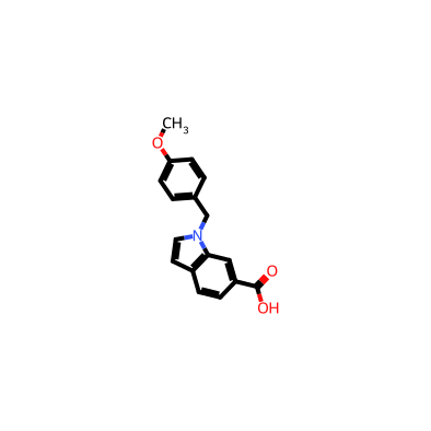 COc1ccc(Cn2ccc3ccc(C(=O)O)cc32)cc1